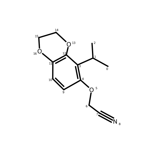 CC(C)c1c(OCC#N)ccc2c1OCCO2